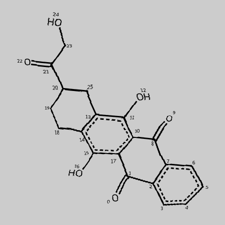 O=C1c2ccccc2C(=O)c2c(O)c3c(c(O)c21)CCC(C(=O)CO)C3